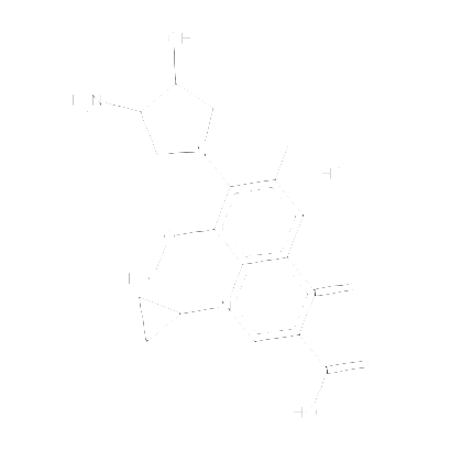 COc1c(N2CC(N)C(O)C2)c(F)cc2c(=O)c(C(=O)O)cn(C3CC3)c12.Cl